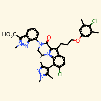 Cc1cc(OCCCc2c3n(c4c(-c5c(C)nn(C)c5C)c(Cl)ccc24)[C@H](C)CN(c2cccc4c(C(=O)O)n(C)nc24)C3=O)cc(C)c1Cl